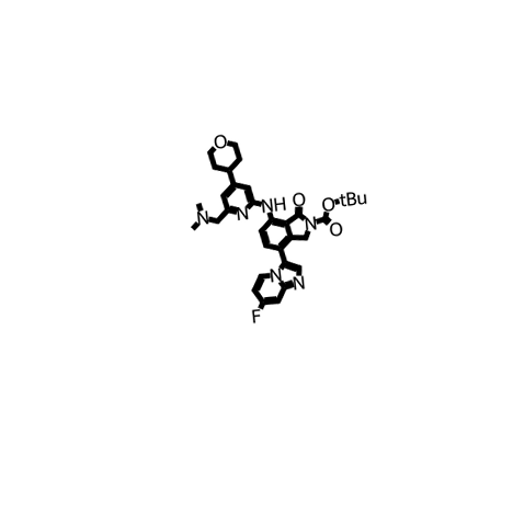 CN(C)Cc1cc(C2CCOCC2)cc(Nc2ccc(-c3cnc4cc(F)ccn34)c3c2C(=O)N(C(=O)OC(C)(C)C)C3)n1